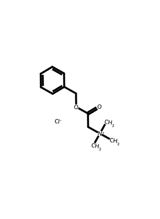 C[N+](C)(C)CC(=O)OCc1ccccc1.[Cl-]